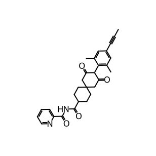 CC#Cc1cc(C)c(C2C(=O)CC3(CCC(C(=O)NC(=O)c4ccccn4)CC3)CC2=O)c(C)c1